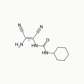 N#C/C(N)=C(\C#N)NC(=O)NC1CCCCC1